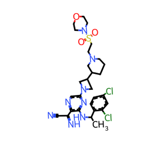 CC(Nc1nc(N2CC(C3CCCN(CCS(=O)(=O)N4CCOCC4)C3)C2)cnc1C(=N)C#N)c1ccc(Cl)cc1Cl